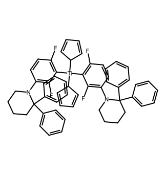 Fc1ccc(N2CCCCC2(c2ccccc2)c2ccccc2)c(F)[c]1[Ti]([c]1c(F)ccc(N2CCCCC2(c2ccccc2)c2ccccc2)c1F)([CH]1C=CC=C1)[CH]1C=CC=C1